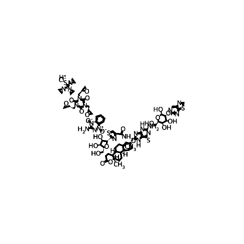 C[C@]12C=CC(=O)C=C1CC[C@@H]1[C@@H]2CC[C@]2(C)OC(=O)CC[C@@H]12.NC(=O)c1csc([C@@H]2O[C@H](CO)[C@@H](O)[C@H]2O)n1.Nc1n[n+]([O-])c2ccccc2[n+]1[O-].Nc1nc(=S)c2[nH]cnc2[nH]1.O=c1n(C[C@H]2CO2)c(=O)n(C[C@@H]2CO2)c(=O)n1C[C@H]1CO1.OC[C@H]1O[C@@H](O)[C@H](O)[C@@H](O)[C@@H]1O.S=P(N1CC1)(N1CC1)N1CC1.[Cl-].[H+].c1ncc2ncsc2n1